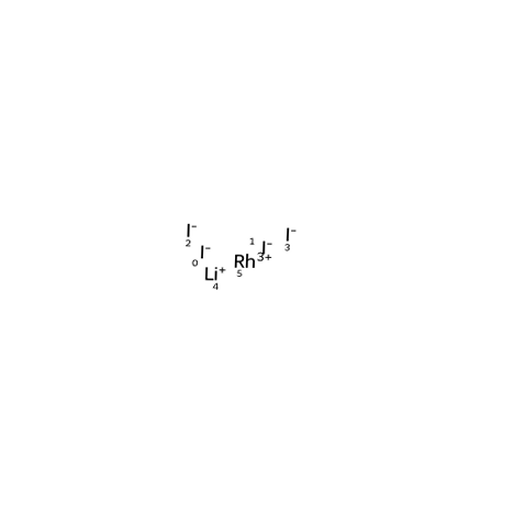 [I-].[I-].[I-].[I-].[Li+].[Rh+3]